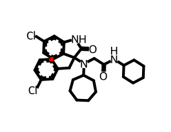 O=C(CN(C1CCCCCC1)C1(Cc2cccc(Cl)c2)C(=O)Nc2cc(Cl)ccc21)NC1CCCCC1